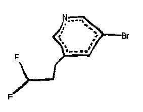 FC(F)Cc1cncc(Br)c1